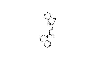 O=C(CSc1cnc2ccccc2n1)N1CCCc2ccccc21